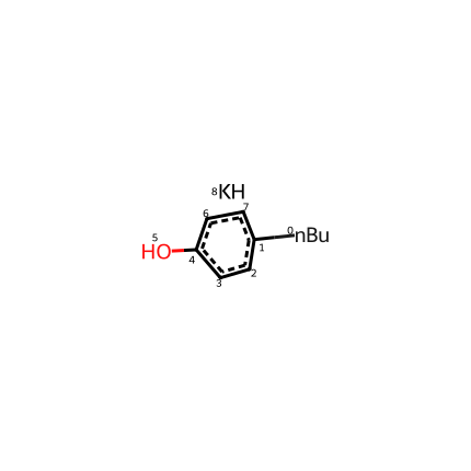 CCCCc1ccc(O)cc1.[KH]